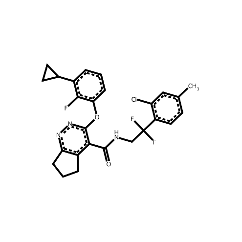 Cc1ccc(C(F)(F)CNC(=O)c2c(Oc3cccc(C4CC4)c3F)nnc3c2CCC3)c(Cl)c1